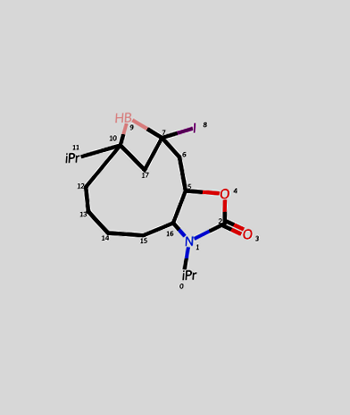 CC(C)N1C(=O)OC2CC3(I)BC(C(C)C)(CCCCC21)C3